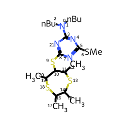 CCCCN(CCCC)c1nc(SC)nc(SC2C(C)SC(C)C(C)SC2C)n1